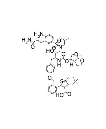 CC(C)CN(C[C@@H](O)[C@H](Cc1ccc(OCc2ccccc2-c2sc3c(c2C(=O)O)CC(C)(C)CC3)cc1)NC(=O)O[C@H]1CO[C@@]2(C)OCC[C@@H]12)S(=O)(=O)c1ccc(N)c(/C=C/C(N)=O)c1